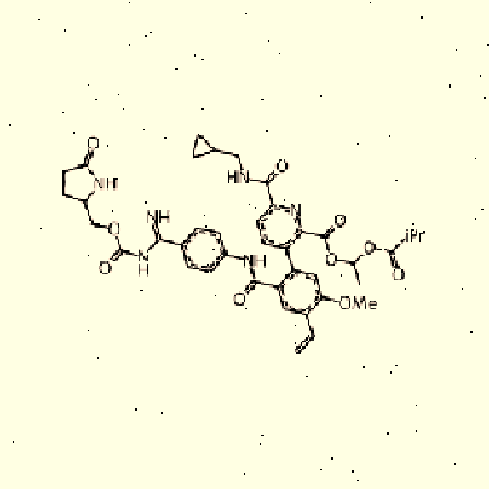 C=Cc1cc(C(=O)Nc2ccc(C(=N)NC(=O)OCC3CCC(=O)N3)cc2)c(-c2ccc(C(=O)NCC3CC3)nc2C(=O)OC(C)OC(=O)C(C)C)cc1OC